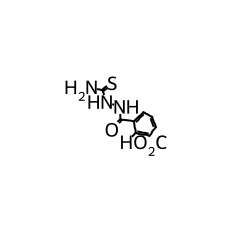 NC(=S)NNC(=O)c1ccccc1C(=O)O